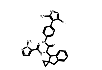 Cc1n[nH]c(C)c1-c1ccc(NC(=O)[C@@H](NC(=O)c2ccnn2C)C2c3ccccc3CC23CC3)cc1